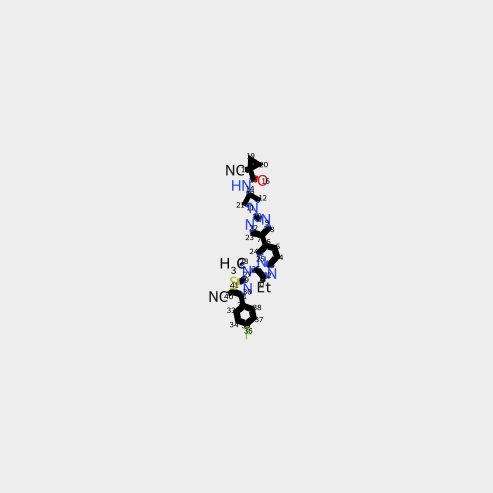 CCc1nc2ccc(-c3cnc(N4CC(NC(=O)C5(C#N)CC5)C4)nc3)cn2c1N(C)c1nc(-c2ccc(F)cc2)c(C#N)s1